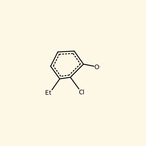 CCc1cccc([O])c1Cl